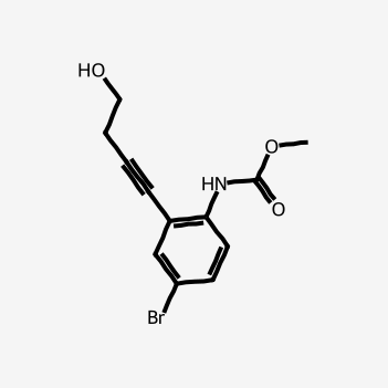 COC(=O)Nc1ccc(Br)cc1C#CCCO